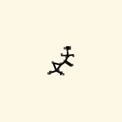 C=C(C1CC1(F)F)S(C)(C)S